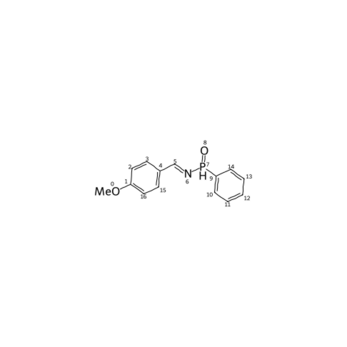 COc1ccc(C=N[PH](=O)c2ccccc2)cc1